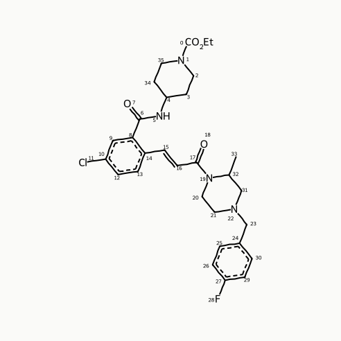 CCOC(=O)N1CCC(NC(=O)c2cc(Cl)ccc2C=CC(=O)N2CCN(Cc3ccc(F)cc3)CC2C)CC1